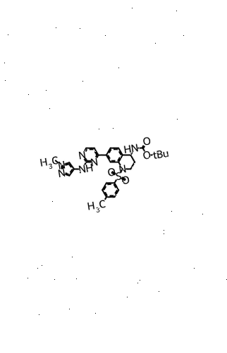 Cc1ccc(S(=O)(=O)N2CCC(NC(=O)OC(C)(C)C)c3ccc(-c4ccnc(Nc5cnn(C)c5)n4)cc32)cc1